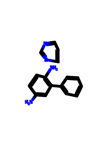 Nc1ccc(N)c(-c2ccccc2)c1.c1cncnc1